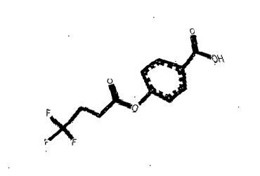 O=C(CCC(F)(F)F)Oc1ccc(C(=O)O)cc1